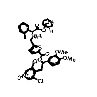 COc1ccc(C(Cc2c(Cl)c[n+]([O-])cc2Cl)OC(=O)c2ccc(CN[C@H](C(=O)O[C@H]3CN4CCC3CC4)c3ccccc3C)s2)cc1OC